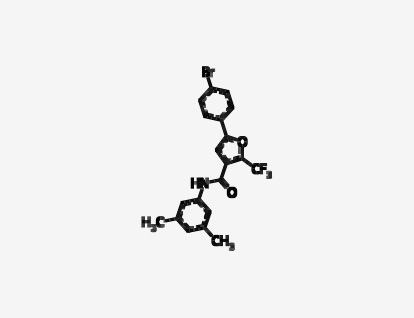 Cc1cc(C)cc(NC(=O)c2cc(-c3ccc(Br)cc3)oc2C(F)(F)F)c1